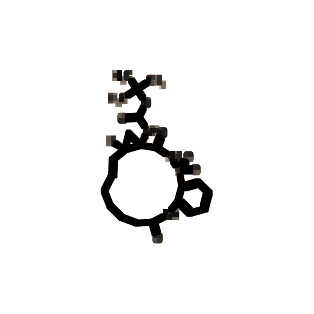 CC(C)(C)OC(=O)N[C@]12C[C@H]1/C=C/CCCCC(=O)Nc1ccccc1S(=O)(=O)NC2=O